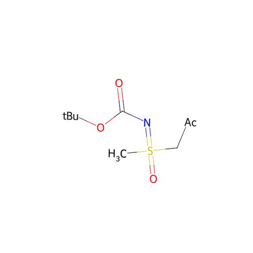 CC(=O)CS(C)(=O)=NC(=O)OC(C)(C)C